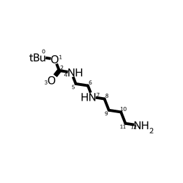 CC(C)(C)OC(=O)NCCNCCCCN